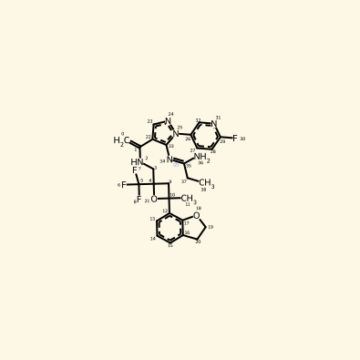 C=C(NCC1(C(F)(F)F)CC(C)(c2cccc3c2OCC3)O1)c1cnn(-c2ccc(F)nc2)c1/N=C(\N)CC